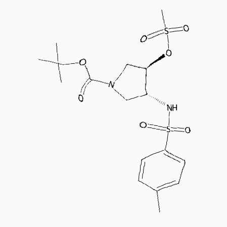 Cc1ccc(S(=O)(=O)N[C@@H]2CN(C(=O)OC(C)(C)C)C[C@H]2OS(C)(=O)=O)cc1